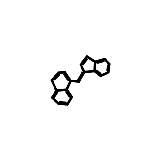 C1=Cc2ccccc2C1=Cc1cccc2ccccc12